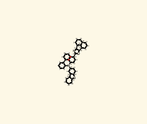 c1ccc(-c2ccccc2N(c2ccc(-c3nc4c(o3)-c3cccc5cccc-4c35)cc2)c2ccc3sc4ccccc4c3c2)cc1